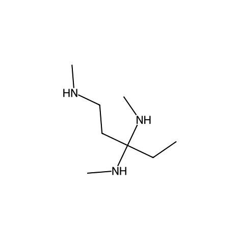 CCC(CCNC)(NC)NC